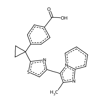 Cc1nc2ccccn2c1-c1csc(C2(c3ccc(C(=O)O)cc3)CC2)n1